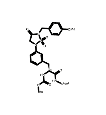 CCCCCNC(=O)[C@H](Cc1cccc(N2CC(=O)N(Cc3ccc(OC)cc3)S2(=O)=O)c1)NC(=O)OC(C)(C)C